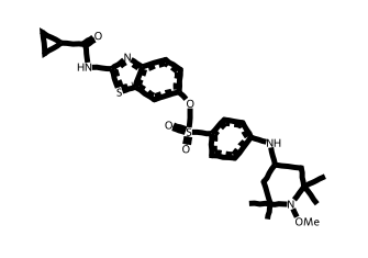 CON1C(C)(C)CC(Nc2ccc(S(=O)(=O)Oc3ccc4nc(NC(=O)C5CC5)sc4c3)cc2)CC1(C)C